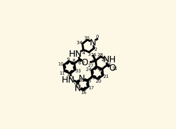 CN1CCC(NC(=O)c2cccc(Nc3nccc(-c4ccc5c(c4)C(C)(C)CNC5=O)n3)c2)CC1